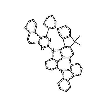 CC1(C)c2ccccc2-c2c1cc1c3cccc4c5ccccc5n(c5cccc6c5c1c2n6-c1nc(-c2ccccc2)c2c(ccc5ccccc52)n1)c34